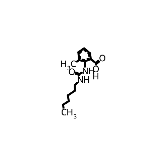 CCCCCCNC(=O)Nc1c(C)cccc1C(=O)O